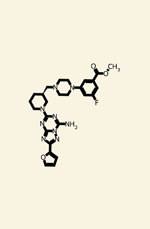 COC(=O)c1cc(F)cc(N2CCN(C[C@@H]3CCCN(c4nc(N)n5nc(-c6ccco6)nc5n4)C3)CC2)c1